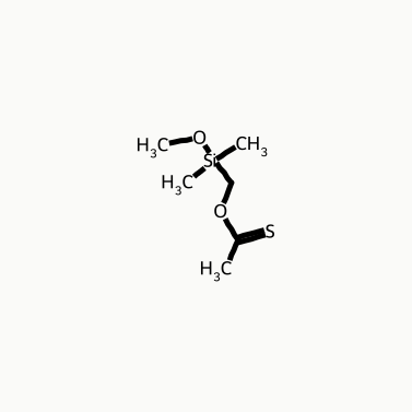 CO[Si](C)(C)COC(C)=S